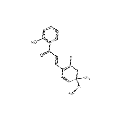 COC1(C)C=CC(C=CC(=O)c2ccccc2O)=C(Cl)C1